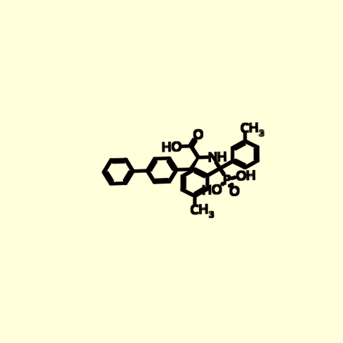 Cc1cccc(C(N[C@@H](Cc2ccc(-c3ccccc3)cc2)C(=O)O)(c2cccc(C)c2)P(=O)(O)O)c1